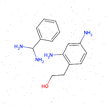 NC(N)c1ccccc1.Nc1ccc(CCO)c(N)c1